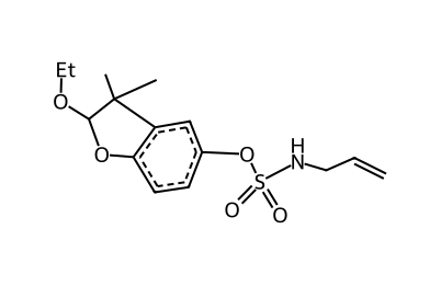 C=CCNS(=O)(=O)Oc1ccc2c(c1)C(C)(C)C(OCC)O2